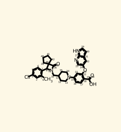 Cc1cc(Cl)ccc1C1N(CC2CCN(c3ccc(C(=O)O)c(Oc4cnc5[nH]ccc5c4)c3)CC2)C(=O)C12CCCC2